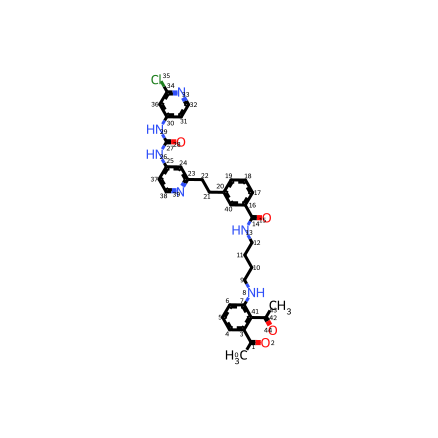 CC(=O)c1cccc(NCCCCNC(=O)c2cccc(CCc3cc(NC(=O)Nc4ccnc(Cl)c4)ccn3)c2)c1C(C)=O